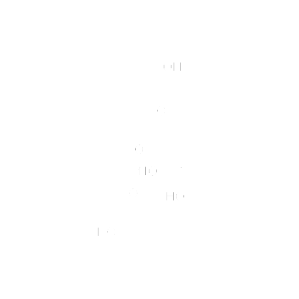 OCC1(CO)CCCCC1.OCCOCCOCCOCCO